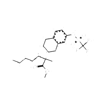 CCCCCC(C)(C(=O)OC)[C@@H]1CCc2ccc(OS(=O)(=O)C(F)(F)F)cc2C1